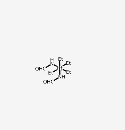 C[CH2][Hf]([CH2]C)([CH2]C)([CH2]C)([NH]C=O)[NH]C=O